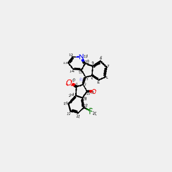 O=C1/C(=C2/c3ccccc3-c3ncccc32)C(=O)c2c(F)cccc21